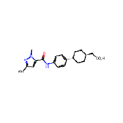 Cn1nc(C(C)(C)C)cc1C(=O)Nc1ccc([C@H]2CC[C@H](CC(=O)O)CC2)cc1